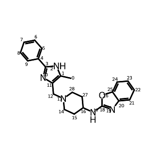 Cc1[nH]c(-c2ccccc2)nc1CN1CCC(Nc2nc3ccccc3o2)CC1